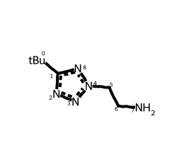 CC(C)(C)c1nnn(CCN)n1